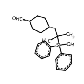 CC(C)(C[C@H]1CC[C@H](C=O)CC1)[Si](O)(c1ccccc1)c1ccccc1